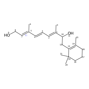 CC(=CC=C/C(C)=C/CO)C(O)CC1=C(C)CCCC1(C)C